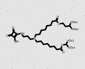 CCCCCCCCC(CCCCCCCC)OC(=O)CCCCCCCN(CCCCCCCC(=O)OCCC(CCCCCC)CCCCCC)CCCNc1c(CCC)c(=O)c1=O